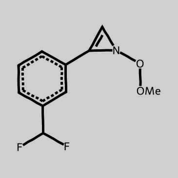 COON1C=C1c1cccc(C(F)F)c1